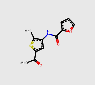 COC(=O)c1cc(NC(=O)c2ccco2)c(SC)s1